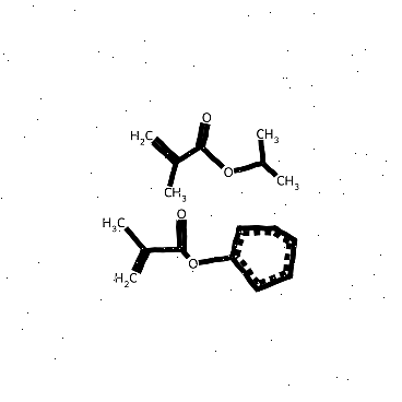 C=C(C)C(=O)OC(C)C.C=C(C)C(=O)Oc1ccccc1